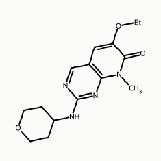 CCOc1cc2cnc(NC3CCOCC3)nc2n(C)c1=O